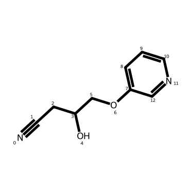 N#CCC(O)COc1cccnc1